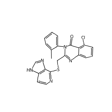 Cc1ccccc1-n1c(CSc2nccc3[nH]cnc23)nc2cccc(Cl)c2c1=O